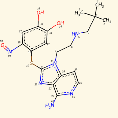 CC(C)(C)CNCCn1c(Sc2cc(O)c(O)cc2N=O)nc2c(N)nccc21